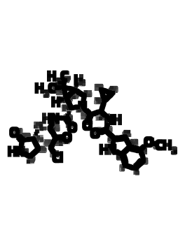 COc1cccc2[nH]c(C(=O)NC(C(=O)N3C[C@H]4[C@@H]([C@H]3C(=O)N[C@@H](C[C@@H]3CCNC3=O)C(=O)CCl)C4(C)C)C3CC3)cc12